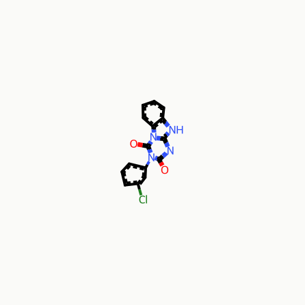 O=c1nc2[nH]c3ccccc3n2c(=O)n1-c1cccc(Cl)c1